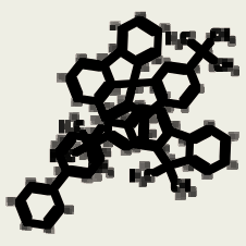 CC(C)(C)c1ccc2c(c1)C1(c3cc(C(C)(C)C)ccc3-2)c2ccccc2-c2cccc(N(c3ccc(-c4ccccc4)cc3)c3ccc4c(c3)C(C)(C)c3ccccc3-4)c21